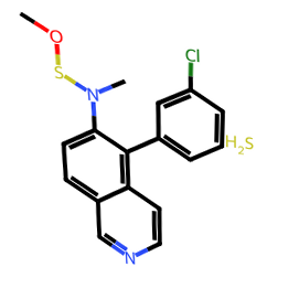 COSN(C)c1ccc2cnccc2c1-c1cccc(Cl)c1.S